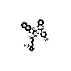 CN(C(=O)C=CCC1(N)CCC1)[C@H](Cc1ccc2ccccc2c1)C(=O)N(C)[C@H](Cc1ccccc1)C(=O)N1CCC(O)CC1